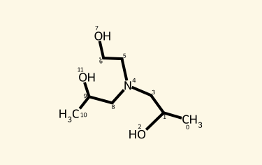 CC(O)CN(C[CH]O)CC(C)O